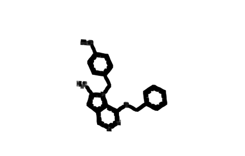 COc1ccc(Cn2c(C)cc3cnnc(OCc4ccccc4)c32)cc1